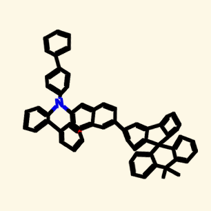 CC1(C)c2ccccc2C2(c3ccccc3-c3cc(-c4ccc5cc(N(c6ccc(-c7ccccc7)cc6)c6ccccc6-c6ccccc6)ccc5c4)ccc32)c2ccccc21